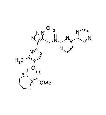 COC(=O)[C@H]1CCCC[C@@H]1COc1ccc(-c2nnn(C)c2CNc2nccc(-c3cnccn3)n2)nc1C